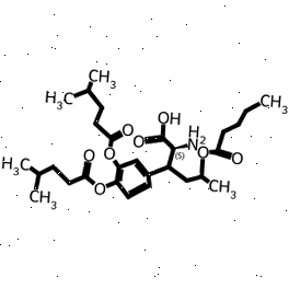 CCCCC(=O)OC(C)CC(c1ccc(OC(=O)CCC(C)C)c(OC(=O)CCC(C)C)c1)[C@H](N)C(=O)O